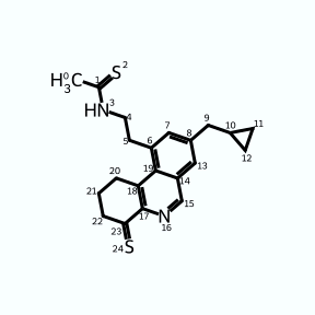 CC(=S)NCCc1cc(CC2CC2)cc2cnc3c(c12)CCCC3=S